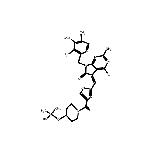 COc1c(C)cnc(CN2C(=O)C(=Cc3nc(C(=O)N4CCC(O[Si](C)(C)C(C)(C)C)CC4)c[nH]3)c3c(Cl)nc(N)nc32)c1C